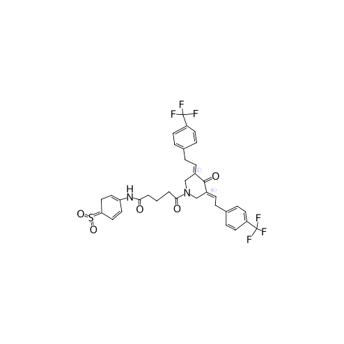 O=C(CCCC(=O)N1C/C(=C\Cc2ccc(C(F)(F)F)cc2)C(=O)/C(=C/Cc2ccc(C(F)(F)F)cc2)C1)NC1=CCC(=S(=O)=O)C=C1